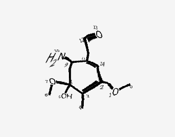 COC1=C(C)C(O)(OC)C(N)C(C=O)=C1